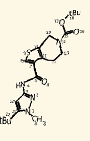 Cn1nc(NC(=O)c2csc3c2CCN(C(=O)OC(C)(C)C)C3)cc1C(C)(C)C